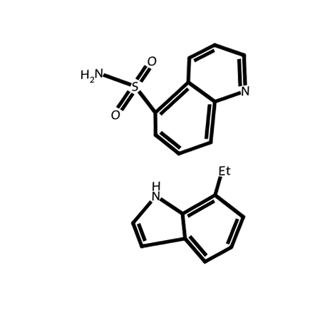 CCc1cccc2cc[nH]c12.NS(=O)(=O)c1cccc2ncccc12